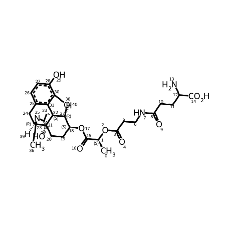 C[C@H](OC(=O)CCNC(=O)CCC(N)C(=O)O)C(=O)O[C@H]1CC[C@@]2(O)[C@H]3Cc4ccc(O)c5c4[C@@]2(CCN3C)[C@H]1O5